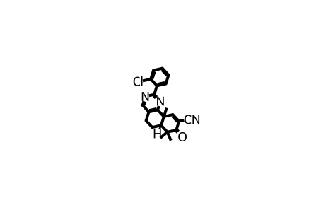 CC1(C)C(=O)C(C#N)=CC2(C)c3nc(-c4ccccc4Cl)ncc3CC[C@@H]12